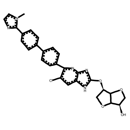 Cn1ccnc1-c1ccc(-c2ccc(-c3nc4nc(O[C@@H]5COC6C5OC[C@H]6O)[nH]c4cc3Cl)cc2)cc1